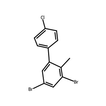 Cc1c(Br)cc(Br)cc1-c1ccc(Cl)cc1